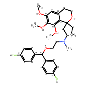 CCC1(CCN(C)CCOC(c2ccc(F)cc2)c2ccc(F)cc2)OCCc2cc(OC)c(OC)c(OC)c21